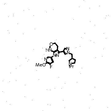 COc1ncc(-n2nc(-c3cnn(CC4CCN(C(C)C)C4)c3)c3c2NCOCC3)cc1F